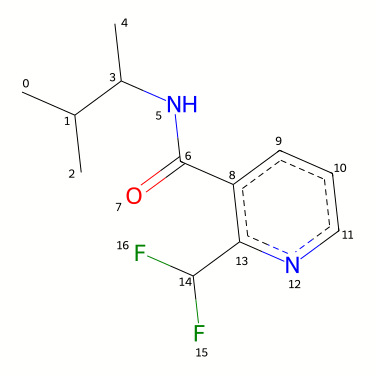 CC(C)C(C)NC(=O)c1cccnc1C(F)F